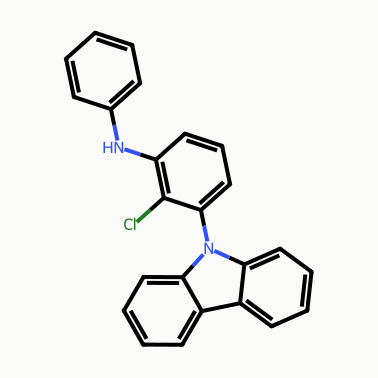 Clc1c(Nc2ccccc2)cccc1-n1c2ccccc2c2ccccc21